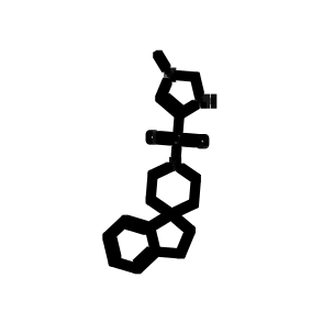 CN1C=C(S(=O)(=O)N2CCC3(CCc4ccccc43)CC2)NC1